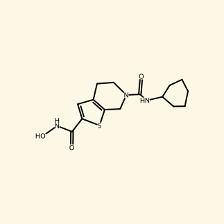 O=C(NO)c1cc2c(s1)CN(C(=O)NC1CCCCC1)CC2